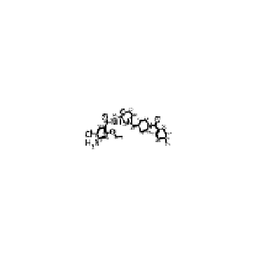 CCOc1cc(N)c(Cl)cc1C(=O)NC[C@H]1CN(CC2CCN(C(=O)c3ccc(C)cc3)CC2)CCO1